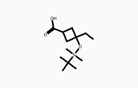 CCC1(O[Si](C)(C)C(C)(C)C)CC(C(=O)O)C1